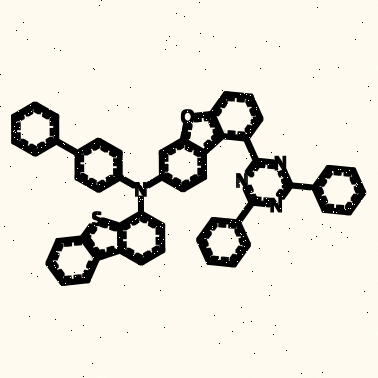 c1ccc(-c2ccc(N(c3ccc4c(c3)oc3cccc(-c5nc(-c6ccccc6)nc(-c6ccccc6)n5)c34)c3cccc4c3sc3ccccc34)cc2)cc1